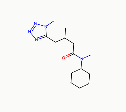 CC(CC(=O)N(C)C1CCCCC1)Cc1nnnn1C